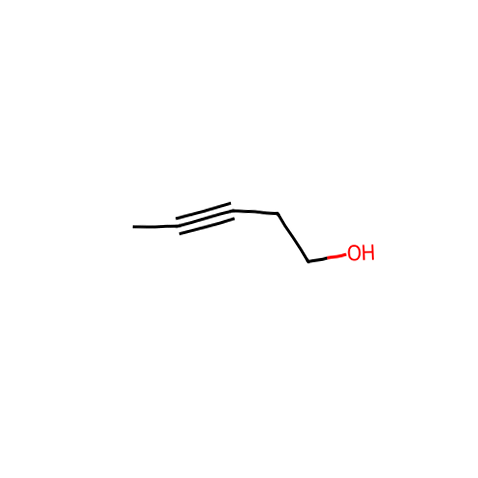 CC#CCCO